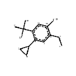 CCc1cc(C2CC2)c(C(C)(C)C)cc1F